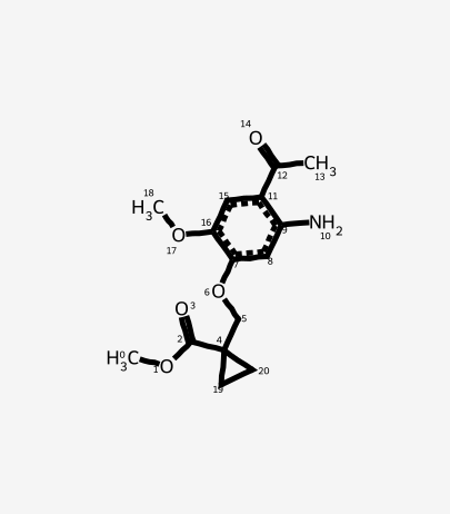 COC(=O)C1(COc2cc(N)c(C(C)=O)cc2OC)CC1